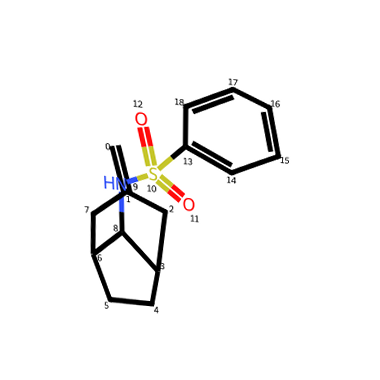 C=C1CC2CCC(C1)C2NS(=O)(=O)c1ccccc1